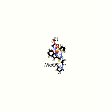 CCOCCN(c1cccc2c1NC(c1ncc(CN3CCC[C@H]3COC)s1)C2)S(=O)(=O)c1cccs1